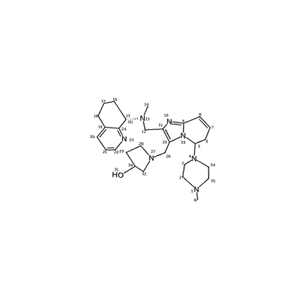 CN1CCN(C2CC=Cc3nc(CN(C)[C@H]4CCCc5cccnc54)c(CN4CCC(O)C4)n32)CC1